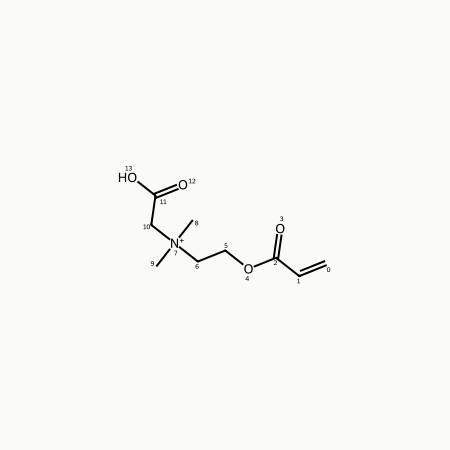 C=CC(=O)OCC[N+](C)(C)CC(=O)O